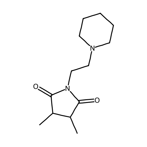 CC1C(=O)N(CCN2CCCCC2)C(=O)C1C